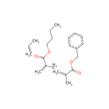 C=C(C)C(=O)OCCCC.C=C(C)C(=O)OCc1ccccc1.C=CC